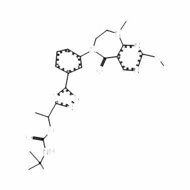 CSc1ncc2c(n1)N(C)CCN(c1cccc(-c3nnc(C(C)OC(=O)NC(C)(C)C)o3)c1)C2=O